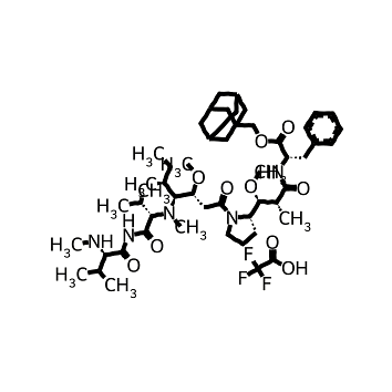 CC[C@H](C)[C@@H]([C@@H](CC(=O)N1CCC[C@H]1[C@H](OC)[C@@H](C)C(=O)N[C@@H](Cc1ccccc1)C(=O)OCC12CC3CC(CC(C3)C1)C2)OC)N(C)[C@H](C(=O)NC(=O)[C@@H](NC)C(C)C)C(C)C.O=C(O)C(F)(F)F